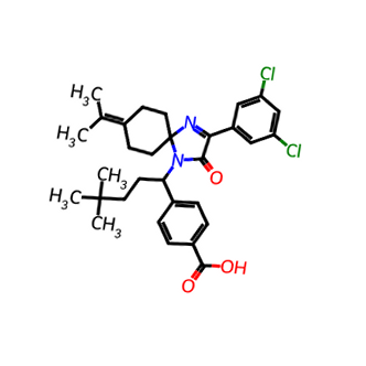 CC(C)=C1CCC2(CC1)N=C(c1cc(Cl)cc(Cl)c1)C(=O)N2C(CCC(C)(C)C)c1ccc(C(=O)O)cc1